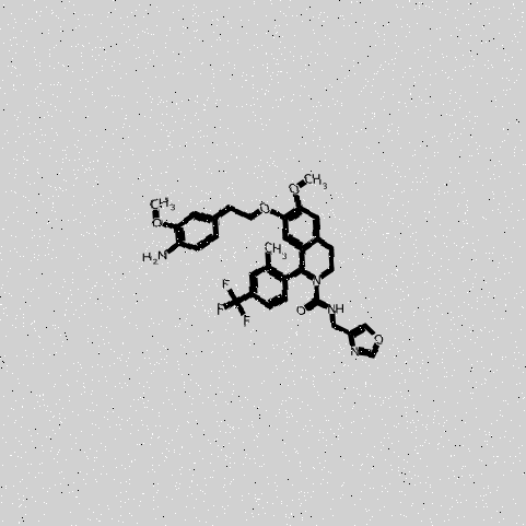 COc1cc(CCOc2cc3c(cc2OC)CCN(C(=O)NCc2cocn2)C3c2ccc(C(F)(F)F)cc2C)ccc1N